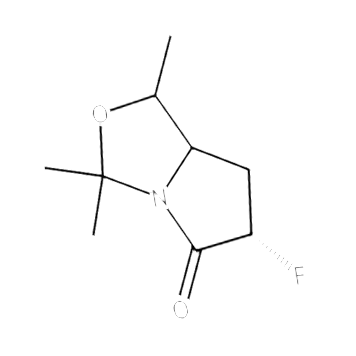 CC1OC(C)(C)N2C(=O)[C@@H](F)CC12